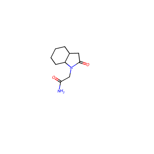 NC(=O)CN1C(=O)CC2CCCCC21